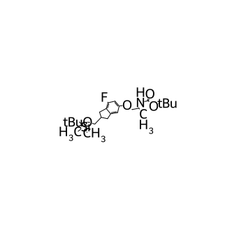 CC(COc1cc(F)c2c(c1)CC(CO[Si](C)(C)C(C)(C)C)C2)NC(=O)OC(C)(C)C